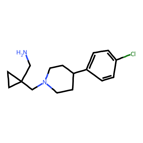 NCC1(CN2CCC(c3ccc(Cl)cc3)CC2)CC1